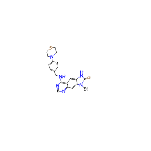 CCn1c(=S)[nH]c2cc3c(NCc4ccc(N5CCSCC5)cc4)ncnc3cc21